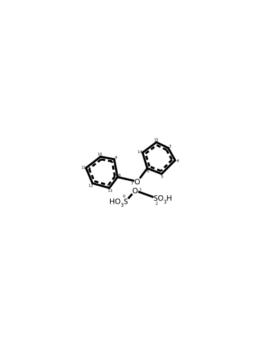 O=S(=O)(O)OS(=O)(=O)O.c1ccc(Oc2ccccc2)cc1